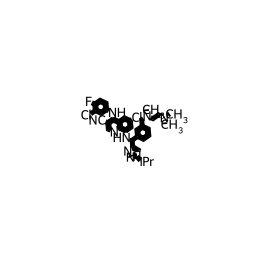 CC(C)n1cc([C@@H](Nc2cc(Cl)cc3c(Nc4ccc(F)c(Cl)c4)c(C#N)cnc23)c2cccc(CN(C)CCN(C)C)c2)nn1